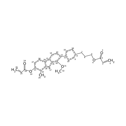 C=CC(=O)OCCCc1ccc(-c2ccc3c(sc4c(C)c(OC(=O)C=C)ccc43)c2OC)cc1